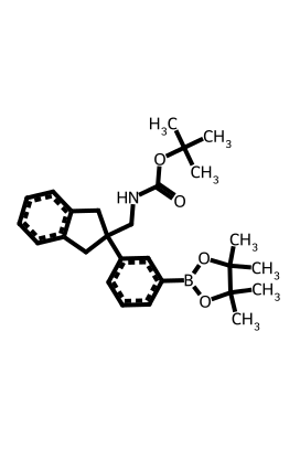 CC(C)(C)OC(=O)NCC1(c2cccc(B3OC(C)(C)C(C)(C)O3)c2)Cc2ccccc2C1